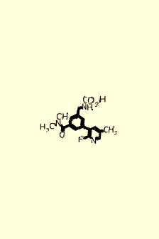 Cc1cnc(F)c(-c2cc(CNC(=O)O)cc(C(=O)N(C)C)c2)c1